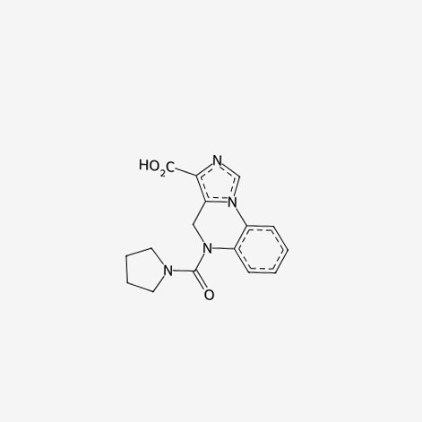 O=C(O)c1ncn2c1CN(C(=O)N1CCCC1)c1ccccc1-2